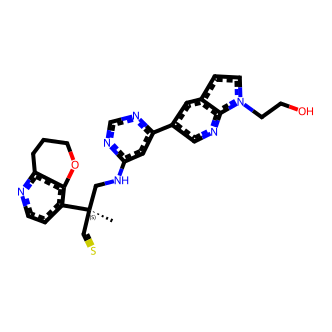 C[C@@](C=S)(CNc1cc(-c2cnc3c(ccn3CCO)c2)ncn1)c1ccnc2c1OCCC2